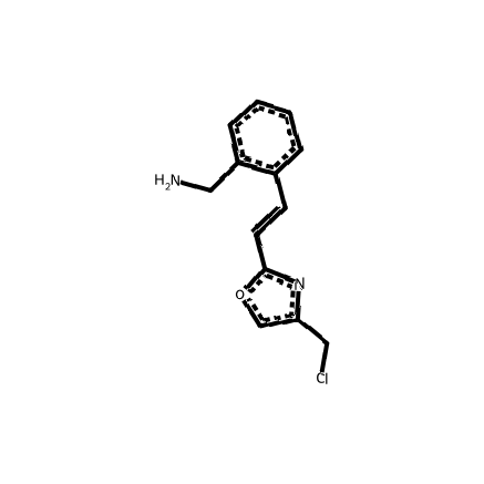 NCc1ccccc1/C=C/c1nc(CCl)co1